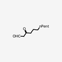 CCCCCCCCC(=O)CC=O